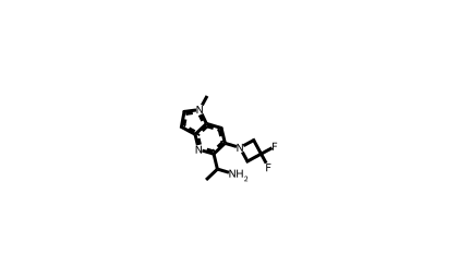 CC(N)c1nc2ccn(C)c2cc1N1CC(F)(F)C1